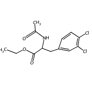 CCOC(=O)C(Cc1ccc(Cl)c(Cl)c1)NC(C)=O